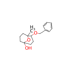 CC12CCCC(O)(CCC1OCc1ccccc1)O2